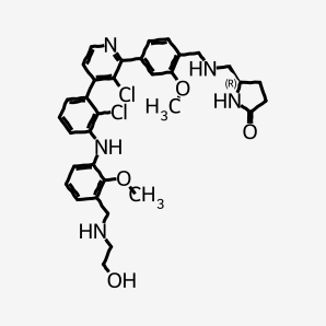 COc1cc(-c2nccc(-c3cccc(Nc4cccc(CNCCO)c4OC)c3Cl)c2Cl)ccc1CNC[C@H]1CCC(=O)N1